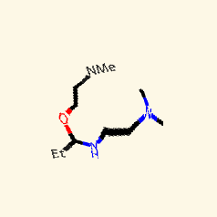 CCC(NCCN(C)C)OCCNC